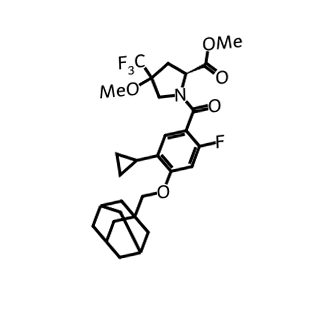 COC(=O)[C@@H]1CC(OC)(C(F)(F)F)CN1C(=O)c1cc(C2CC2)c(OCC23CC4CC(CC(C4)C2)C3)cc1F